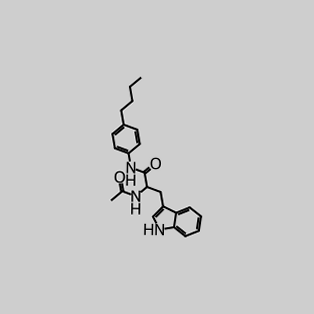 CCCCc1ccc(NC(=O)C(Cc2c[nH]c3ccccc23)NC(C)=O)cc1